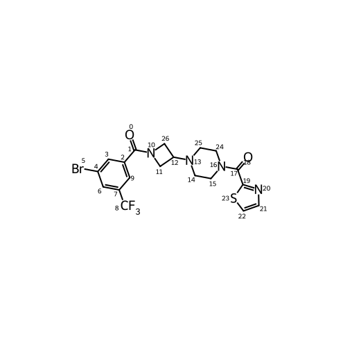 O=C(c1cc(Br)cc(C(F)(F)F)c1)N1CC(N2CCN(C(=O)c3nccs3)CC2)C1